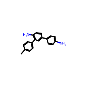 Cc1ccc(-c2cc(-c3ccc(N)cc3)ccc2N)cc1